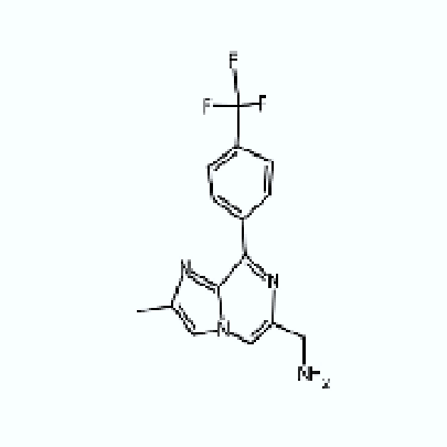 Cc1cn2cc(CN)nc(-c3ccc(C(F)(F)F)cc3)c2n1